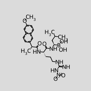 COc1ccc2cc([C@H](C)C(=O)N[C@@H](CCCNC(=N)N[N+](=O)[O-])C(=O)N[C@@H](CC(C)C)B(O)O)ccc2c1